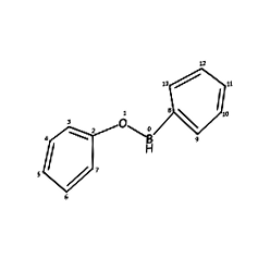 B(Oc1ccccc1)c1ccccc1